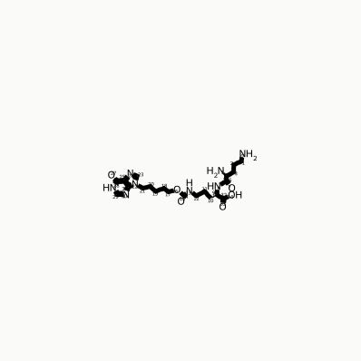 NCCC[C@H](N)C(=O)N[C@@H](CCCNC(=O)OCCCCCn1cnc2c(=O)[nH]cnc21)C(=O)O